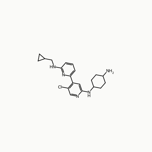 NC1CCC(Nc2cc(-c3cccc(NCC4CC4)n3)c(Cl)cn2)CC1